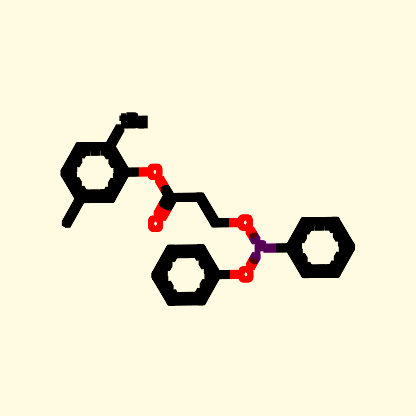 Cc1ccc(C(C)(C)C)c(OC(=O)CCOP(Oc2ccccc2)c2ccccc2)c1